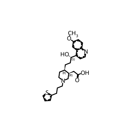 COc1ccc2nccc([C@@H](O)CC[C@@H]3CCN(CCCc4cccs4)C[C@@H]3CC(=O)O)c2c1